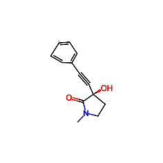 CN1CC[C@@](O)(C#Cc2cc[c]cc2)C1=O